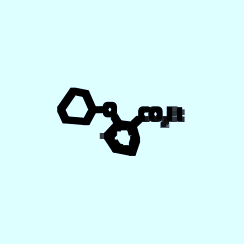 CCOC(=O)c1ccc[c]c1OC1CCCCC1